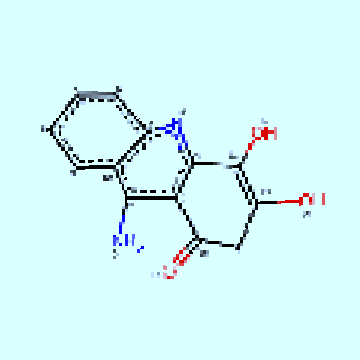 Nc1c2c(nc3ccccc13)C(O)=C(O)CC2=O